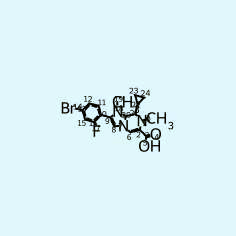 CN1C(C(=O)O)=CN2C=C(c3ccc(Br)cc3F)N(C)C2C1C1CC1